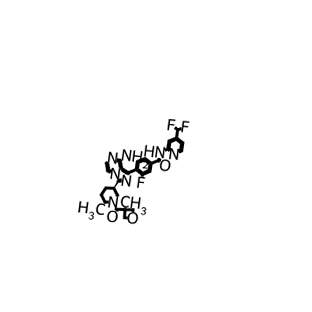 C[C@H]1CC[C@@H](c2nc(-c3ccc(C(=O)Nc4cc(C(F)F)ccn4)cc3F)c3c(N)nccn23)CN1C(=O)C1(C)COC1